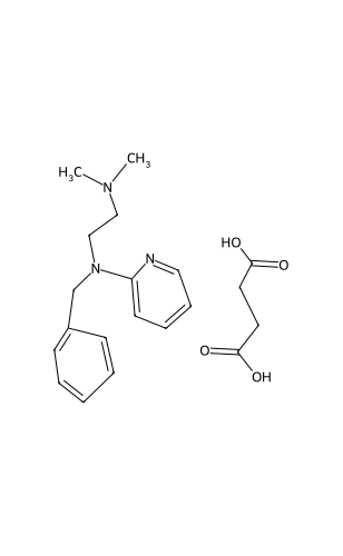 CN(C)CCN(Cc1ccccc1)c1ccccn1.O=C(O)CCC(=O)O